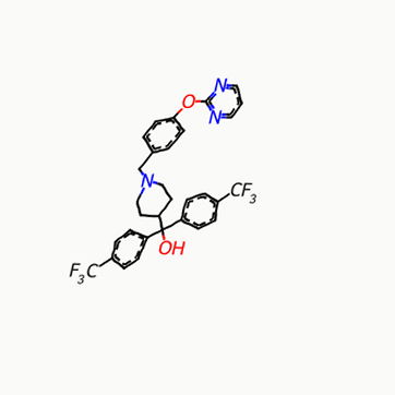 OC(c1ccc(C(F)(F)F)cc1)(c1ccc(C(F)(F)F)cc1)C1CCN(Cc2ccc(Oc3ncccn3)cc2)CC1